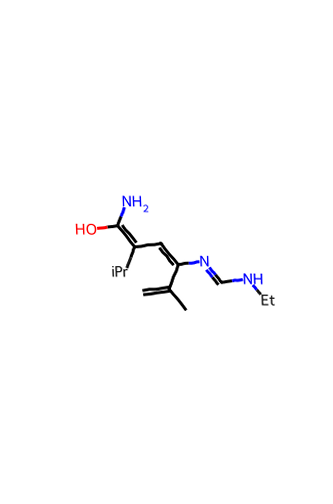 C=C(C)C(=C\C(=C(/N)O)C(C)C)/N=C/NCC